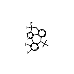 CC(C)(C)C1c2cccc3c2-c2c(csc2-c2c1ccc(F)c2F)C(F)(F)C3